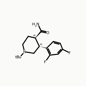 CC(C)(C)N1CC[C@@H](C(N)=O)[C@H](c2ccc(F)cc2F)C1